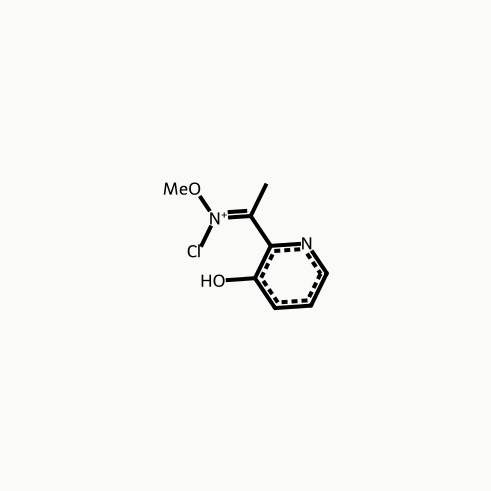 CO[N+](Cl)=C(C)c1ncccc1O